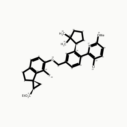 CCOC(=O)[C@@H]1C[C@]12CCc1ccc(OCc3ccc(-c4nc(OC)ccc4Cl)c([C@@H]4CCCC4(C)C)c3)c(F)c12